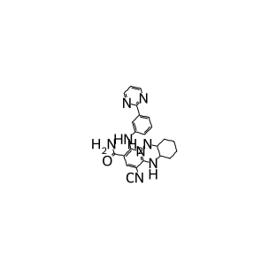 N#Cc1cc(C(N)=O)c(Nc2cccc(-c3ncccn3)c2)nc1NC1CCCCC1N